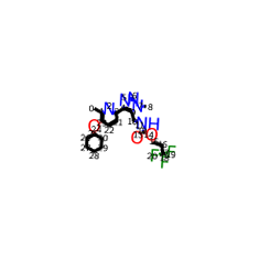 Cc1nc(-c2nnn(C)c2CNC(=O)OCCC(F)(F)F)ccc1OC1CCCCC1